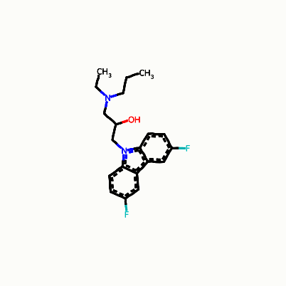 CCCN(CC)CC(O)Cn1c2ccc(F)cc2c2cc(F)ccc21